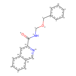 O=C(NCOCc1ccccc1)c1cc2ccccc2cn1